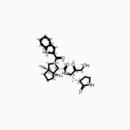 O=C1NCC[C@H]1C[C@H](NC(=O)[C@@H]1[C@@H]2CCC[C@@H]2CN1C(=O)c1cc2ccccc2[nH]1)C(=O)CO